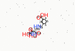 O=C(O)c1cccc(CNCC[C@H](C(=O)O)C(=O)NO)c1